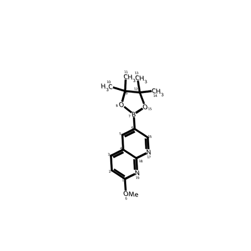 COc1ccc2cc(B3OC(C)(C)C(C)(C)O3)cnc2n1